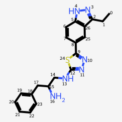 CCc1n[nH]c2ccc(-c3nnc(NCC(N)Cc4ccccc4)s3)cc12